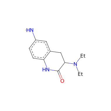 CCN(CC)C1Cc2cc([NH])ccc2NC1=O